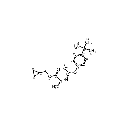 C[C@H](N=[P+]([O-])Oc1ccc(C(C)(C)C)cc1)C(=O)OCC1CC1